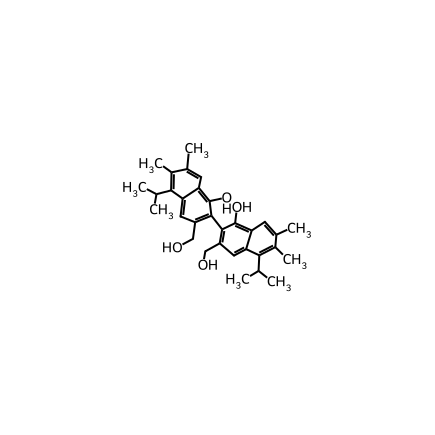 Cc1cc2c(O)c(-c3c(CO)cc4c(C(C)C)c(C)c(C)cc4c3O)c(CO)cc2c(C(C)C)c1C